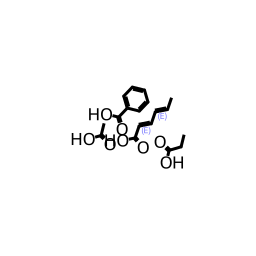 C/C=C/C=C/C(=O)O.CC(=O)O.CCC(=O)O.O=C(O)c1ccccc1